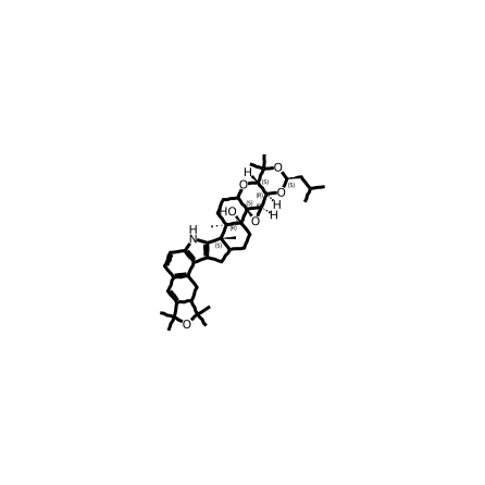 CC(C)C[C@H]1O[C@H]2[C@H]3O[C@@]34C(CC[C@@]3(C)[C@@]4(O)CCC4Cc5c([nH]c6ccc7c(c56)CC5C(=C7)C(C)(C)OC5(C)C)[C@@]43C)O[C@@H]2C(C)(C)O1